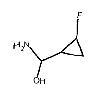 NC(O)C1CC1F